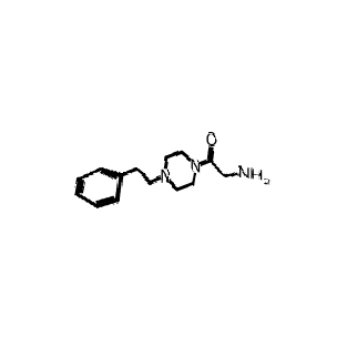 NCC(=O)N1CCN(CCc2ccccc2)CC1